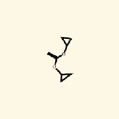 C=C(OC1CC1)OC1CC1